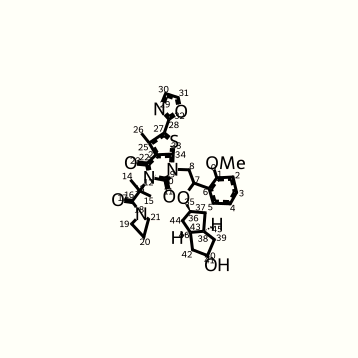 COc1ccccc1C(Cn1c(=O)n(C(C)(C)C(=O)N2CCC2)c(=O)c2c(C)c(-c3ncco3)sc21)O[C@H]1C[C@H]2C[C@@H](O)C[C@H]2C1